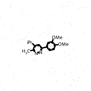 COc1ccc(-c2cc(C(C)C)c(C)nn2)cc1OC